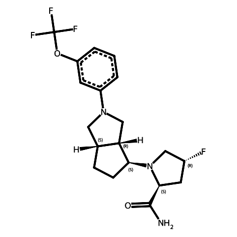 NC(=O)[C@@H]1C[C@@H](F)CN1[C@H]1CC[C@@H]2CN(c3cccc(OC(F)(F)F)c3)C[C@@H]21